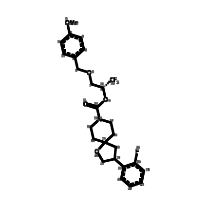 COc1ccc(COC[C@@H](OC(=O)N2CCC3(CC2)CC(c2ccccc2F)CO3)C(F)(F)F)cc1